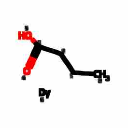 CCCC(=O)O.[Dy]